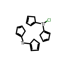 C1=CC[C]([Ti][C]2=CC=CC2)=C1.[Cl][Ti]([C]1=CC=CC1)[C]1=CC=CC1